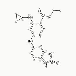 CCOC(=O)c1cnc(Nc2ccc3[nH]c(=O)sc3c2)cc1NC1CC1